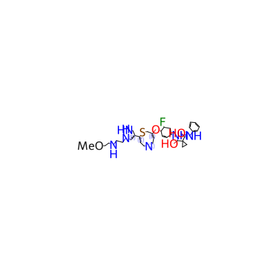 COCCNCCN/C=C(C=N)/C1=C/C/N=C\C=C(\OC2C=CC(NC(O)C3(C(O)Nc4ccccc4)CC3)=CC2F)CS1